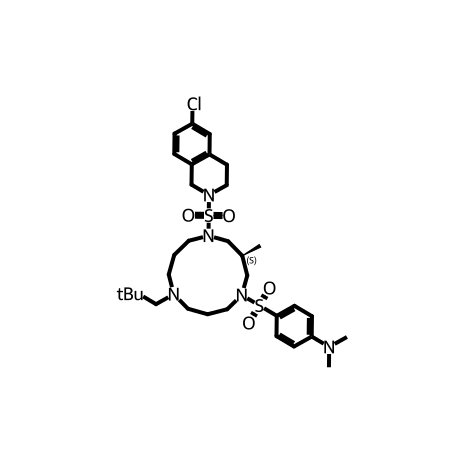 C[C@H]1CN(S(=O)(=O)c2ccc(N(C)C)cc2)CCCN(CC(C)(C)C)CCCN(S(=O)(=O)N2CCc3cc(Cl)ccc3C2)C1